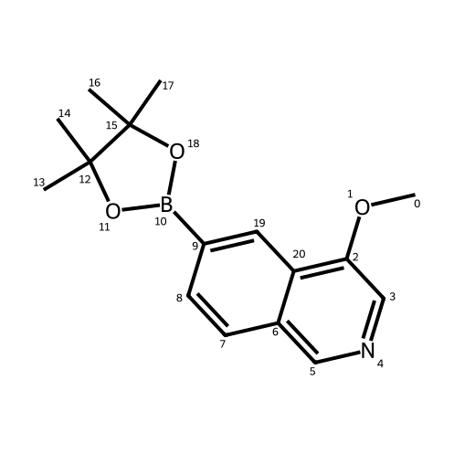 COc1cncc2ccc(B3OC(C)(C)C(C)(C)O3)cc12